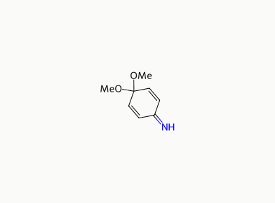 COC1(OC)C=CC(=N)C=C1